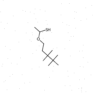 CC(S)OCCC(C)(C)C(C)(C)C